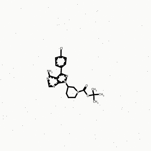 CC(C)(C)OC(=O)N1CCCC(n2nc(-c3ccc(Cl)cc3)c3c(N)ncnc32)C1